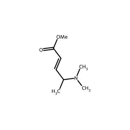 COC(=O)/C=C/C(C)N(C)C